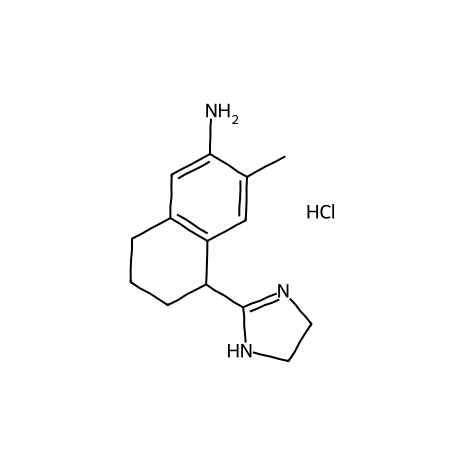 Cc1cc2c(cc1N)CCCC2C1=NCCN1.Cl